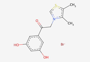 Cc1sc[n+](CC(=O)c2cc(O)cc(O)c2)c1C.[Br-]